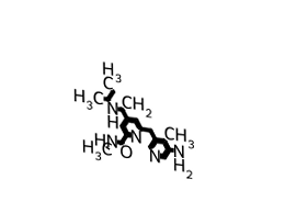 C=C(NC(C)CC)c1cc(Cc2cncc(N)c2C)nc(C(=O)NC)c1